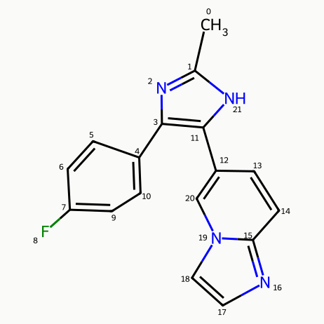 Cc1nc(-c2ccc(F)cc2)c(-c2ccc3nccn3c2)[nH]1